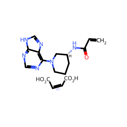 C=CC(=O)N[C@@H]1CCCN(c2ncnc3[nH]cnc23)C1.O=C(O)/C=C\C(=O)O